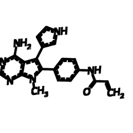 C=CC(=O)Nc1ccc(-c2c(-c3cc[nH]c3)c3c(N)ncnc3n2C)cc1